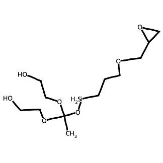 CC(OCCO)(OCCO)O[SiH2]CCCOCC1CO1